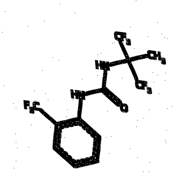 CC(NC(=O)Nc1ccccc1C(F)(F)F)(C(F)(F)F)C(F)(F)F